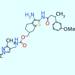 COc1cccc(C(C)CC(=O)Nc2sc3c(c2N)CCC(COC(=O)NCc2cn(C)nc2C)C3)c1